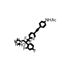 CC(=O)Nc1ccc(C#Cc2ccc(C(F)(F)C(O)(Cn3cnnn3)c3ccc(F)cc3F)nc2)cc1